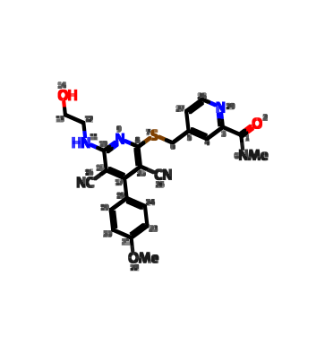 CNC(=O)c1cc(CSc2nc(NCCO)c(C#N)c(-c3ccc(OC)cc3)c2C#N)ccn1